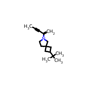 C=C(C#CC)N1CCC2(CC(C(C)(C)C)C2)C1